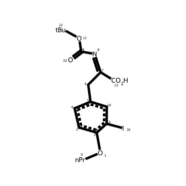 CCCOc1ccc(C/C(=N\C(=O)OC(C)(C)C)C(=O)O)cc1I